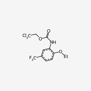 CCOc1ccc(C(F)(F)F)cc1NC(=O)OCC(Cl)(Cl)Cl